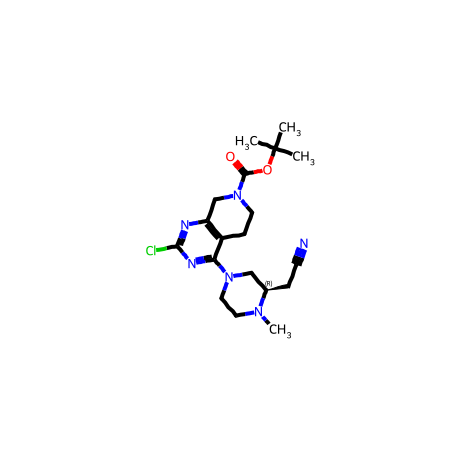 CN1CCN(c2nc(Cl)nc3c2CCN(C(=O)OC(C)(C)C)C3)C[C@H]1CC#N